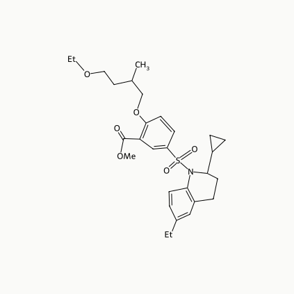 CCOCCC(C)COc1ccc(S(=O)(=O)N2c3ccc(CC)cc3CCC2C2CC2)cc1C(=O)OC